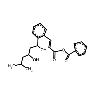 CC(C)CC(O)CC(O)c1ccccc1/C=C/C(=O)OC(=O)c1ccccc1